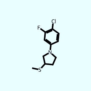 CSC1CCN(c2ccc(Cl)c(F)c2)C1